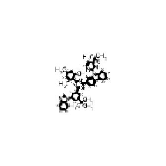 Cc1cc(C)c(-c2nc(-c3cc(-n4cnc5ccccc54)cc(C(C)(C)C)c3)nc(-c3ccc4c5ccccc5n(-c5cc(C(C)(C)C)ccn5)c4c3)n2)c(C)c1